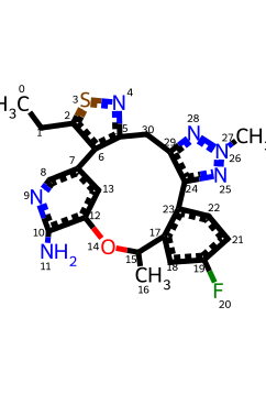 CCc1snc2c1-c1cnc(N)c(c1)OC(C)c1cc(F)ccc1-c1nn(C)nc1C2